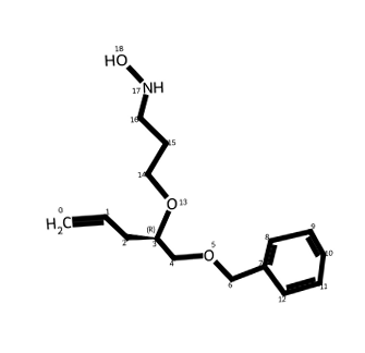 C=CC[C@H](COCc1ccccc1)OCCCNO